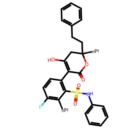 CCCc1c(F)ccc(C2=C(O)CC(CCC)(CCc3ccccc3)OC2=O)c1S(=O)(=O)Nc1ccccc1